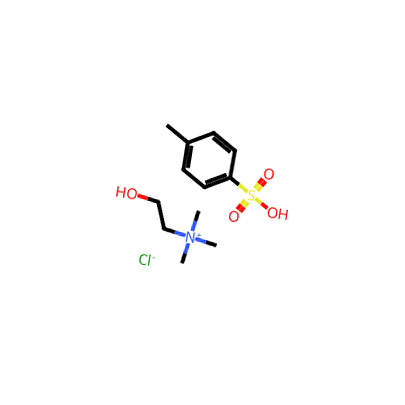 C[N+](C)(C)CCO.Cc1ccc(S(=O)(=O)O)cc1.[Cl-]